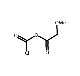 COCC(=O)OC(=O)Cl